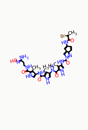 C=C(Br)C(=O)Nc1ccc2nn(C(=O)Nc3c[nH]c(C(=O)Nc4c[nH]c(C(=O)Nc5c[nH]c(C(=O)NCCC(N)=NO)c5C)c4C)c3C)cc2c1